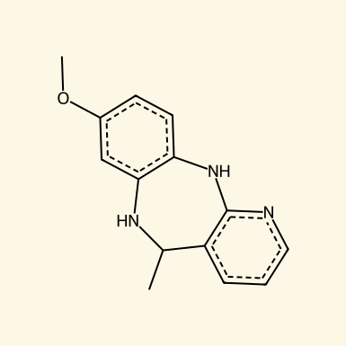 COc1ccc2c(c1)NC(C)c1cccnc1N2